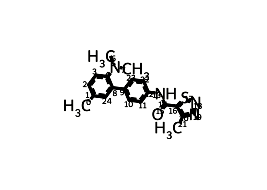 Cc1ccc(N(C)C)c(-c2ccc(NC(=O)c3snnc3C)cc2)c1